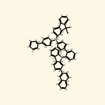 CC1(C)c2ccccc2-c2ccc(N(c3ccc(-c4ccccc4)cc3)c3ccc(-c4ccccc4-n4c5ccccc5c5ccc(-c6ccc7ccccc7c6)cc54)cc3)cc21